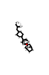 CCC(=O)CC1CCC(c2cnc(N3C4CCC3CN(C)C4)nc2)CC1